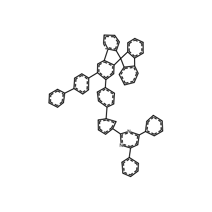 c1ccc(-c2ccc(-c3cc4c(cc3-c3ccc(-c5cccc(-c6nc(-c7ccccc7)cc(-c7ccccc7)n6)c5)cc3)C3(c5ccccc5-c5ccccc53)c3ccccc3-4)cc2)cc1